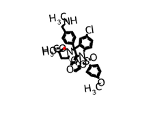 CNCc1ccc(C2(N3C[C@H](O)C[C@H]3c3ncco3)C(=O)N(S(=O)(=O)c3ccc(OC)cc3)c3ccc(Cl)cc32)c(OC)c1